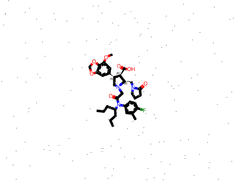 CCCC(CCC)N(C(=O)CN1C[C@H](c2cc(OC)c3c(c2)OCO3)[C@@H](C(=O)O)[C@@H]1CN1CCCC1=O)c1ccc(F)c(C)c1